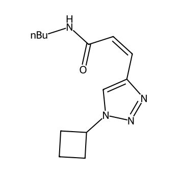 CCCCNC(=O)/C=C\c1cn(C2CCC2)nn1